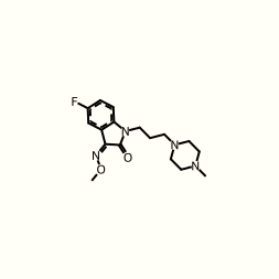 CON=C1C(=O)N(CCCN2CCN(C)CC2)c2ccc(F)cc21